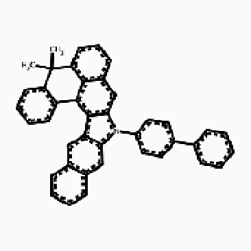 CC1(C)c2ccccc2-c2c3c1cccc3cc1c2c2cc3ccccc3cc2n1-c1ccc(-c2ccccc2)cc1